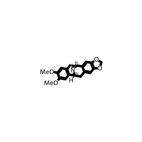 COc1cc2c(cc1OC)[C@@H]1Cc3cc4c(cc3[C@]3(C2)CN13)OCO4